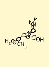 COc1ccc([C@H]2CC[C@H](CN(c3cccc(-n4cnc(C5CC5)n4)c3)C(=O)[C@H]3CC[C@H](O)CC3)CC2)cc1C